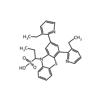 CCc1cccnc1-c1cc(-c2ncccc2CC)c2c(c1)N(C(CC)S(=O)(=O)O)c1ccccc1S2